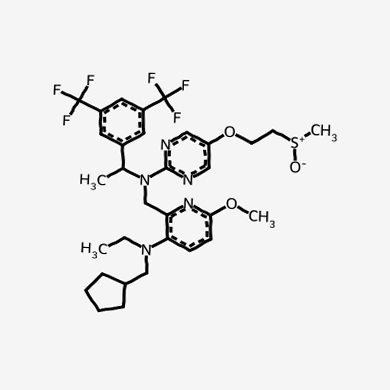 CCN(CC1CCCC1)c1ccc(OC)nc1CN(c1ncc(OCC[S+](C)[O-])cn1)C(C)c1cc(C(F)(F)F)cc(C(F)(F)F)c1